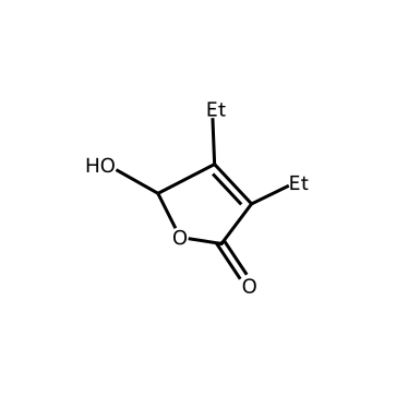 CCC1=C(CC)C(O)OC1=O